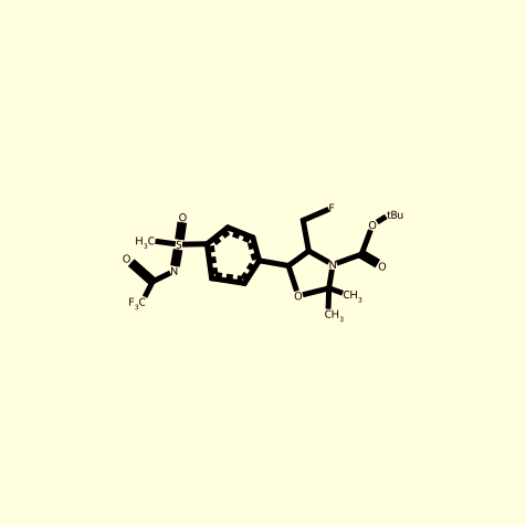 CC(C)(C)OC(=O)N1C(CF)C(c2ccc(S(C)(=O)=NC(=O)C(F)(F)F)cc2)OC1(C)C